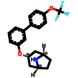 FC(F)(F)Oc1ccc(-c2cccc(O[C@@H]3C[C@H]4CC[C@@H](C3)N4)c2)cc1